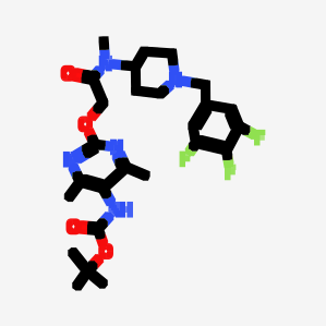 Cc1nc(OCC(=O)N(C)C2CCN(Cc3cc(F)c(F)c(F)c3)CC2)nc(C)c1NC(=O)OC(C)(C)C